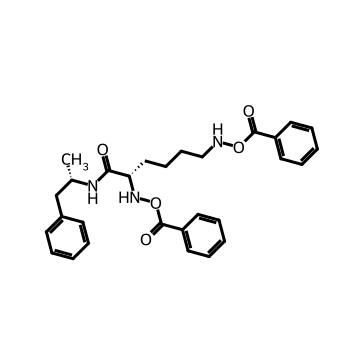 C[C@@H](Cc1ccccc1)NC(=O)[C@H](CCCCNOC(=O)c1ccccc1)NOC(=O)c1ccccc1